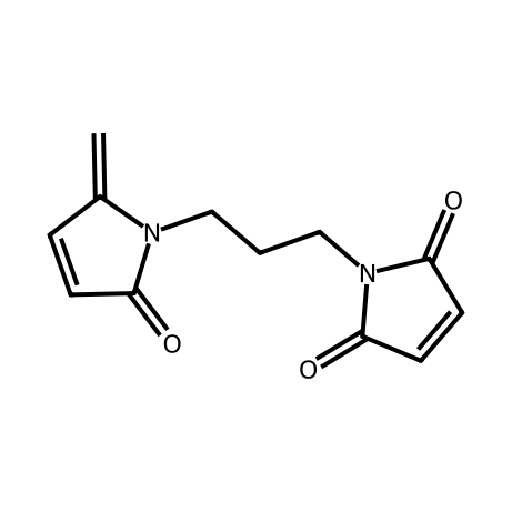 C=C1C=CC(=O)N1CCCN1C(=O)C=CC1=O